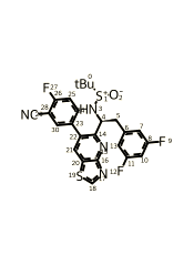 CC(C)(C)[S@+]([O-])N[C@@H](Cc1cc(F)cc(F)c1)c1nc2ncsc2cc1-c1ccc(F)c(C#N)c1